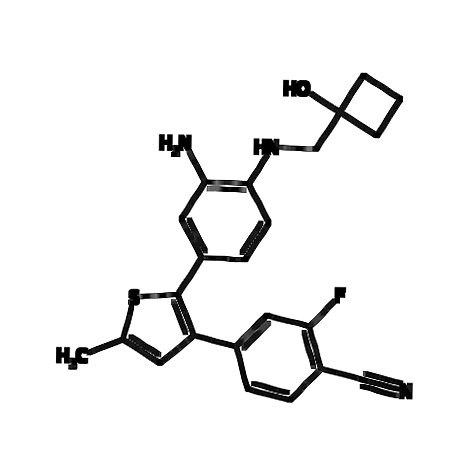 Cc1cc(-c2ccc(C#N)c(F)c2)c(-c2ccc(NCC3(O)CCC3)c(N)c2)s1